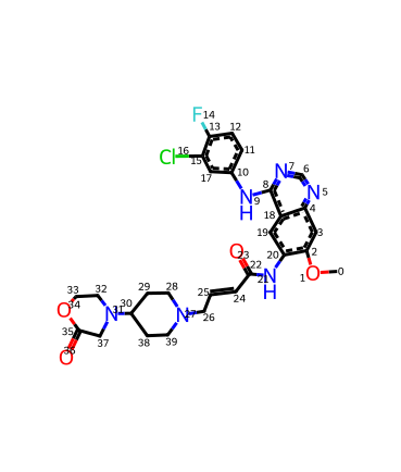 COc1cc2ncnc(Nc3ccc(F)c(Cl)c3)c2cc1NC(=O)/C=C/CN1CCC(N2CCOC(=O)C2)CC1